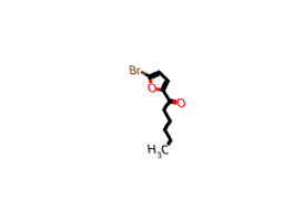 CCCCCC(=O)c1ccc(Br)o1